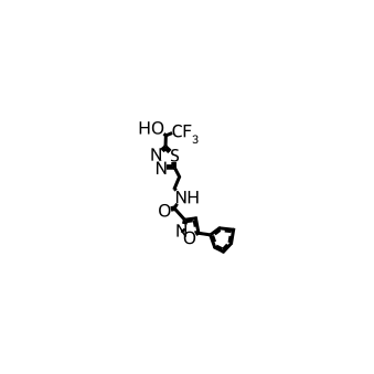 O=C(NCCc1nnc(C(O)C(F)(F)F)s1)c1cc(-c2ccccc2)on1